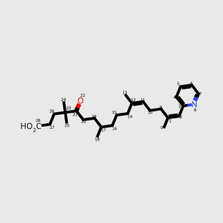 CC(=Cc1ccccn1)CCC=C(C)CCCC(C)CCC(=O)C(C)(C)CCC(=O)O